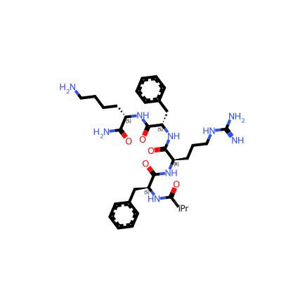 CC(C)C(=O)N[C@@H](Cc1ccccc1)C(=O)N[C@H](CCCNC(=N)N)C(=O)N[C@@H](Cc1ccccc1)C(=O)N[C@@H](CCCCN)C(N)=O